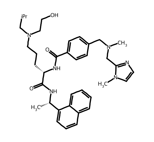 CC(C)CN(CCO)CCC[C@H](NC(=O)c1ccc(CN(C)Cc2nccn2C)cc1)C(=O)N[C@@H](C)c1cccc2ccccc12